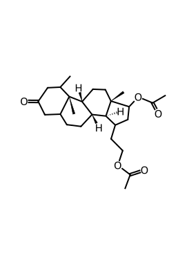 CC(=O)OCCC1CC(OC(C)=O)[C@@]2(C)CC[C@@H]3[C@@H](CCC4CC(=O)CC(C)[C@@]43C)[C@H]12